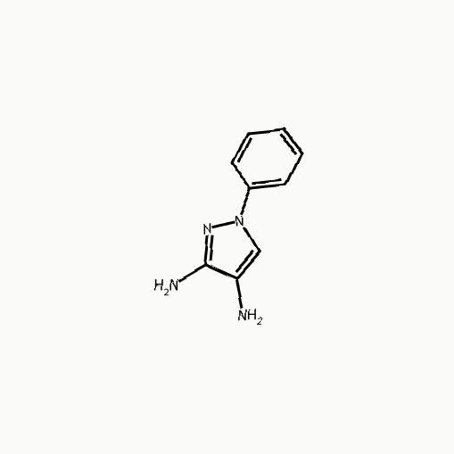 Nc1cn(-c2ccccc2)nc1N